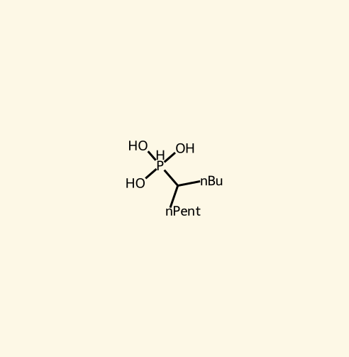 CCCCCC(CCCC)[PH](O)(O)O